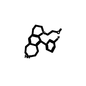 COCCN1CCCc2cc3c(c(-c4cccc(F)c4)c21)CCNCC3